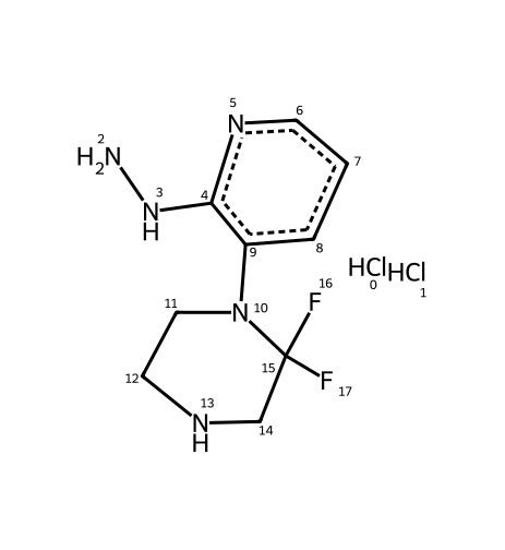 Cl.Cl.NNc1ncccc1N1CCNCC1(F)F